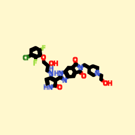 O=C1c2cc3nc(-c4c(NC[C@@H](O)COc5c(F)ccc(Cl)c5F)cc[nH]c4=O)[nH]c3cc2C(=O)N1CC1CCN(CCO)CC1